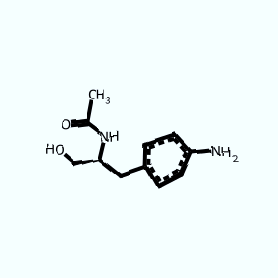 CC(=O)N[C@H](CO)Cc1ccc(N)cc1